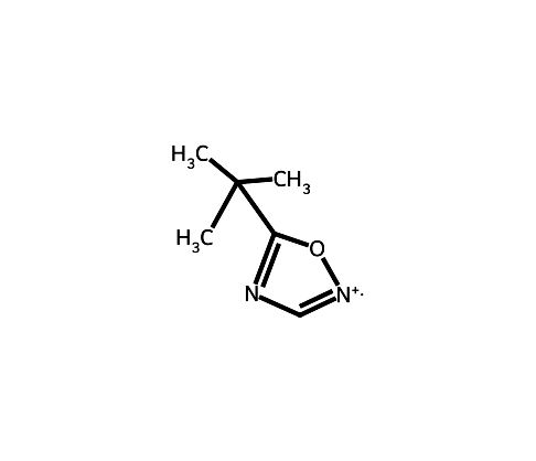 CC(C)(C)C1=NC=[N+]O1